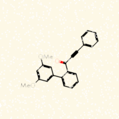 COc1cc(OC)cc(-c2ccccc2C(=O)C#Cc2ccccc2)c1